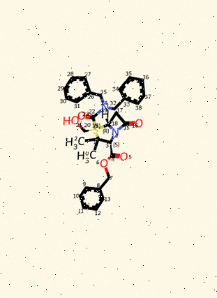 CC1(C)[C@H](C(=O)OCc2ccccc2)N2C(=O)C[C@H]2[S@@]1(CO)C(=O)N(Cc1ccccc1)Cc1ccccc1